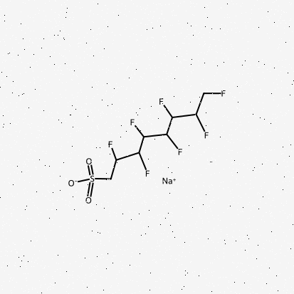 O=S(=O)([O-])CC(F)C(F)C(F)C(F)C(F)C(F)CF.[Na+]